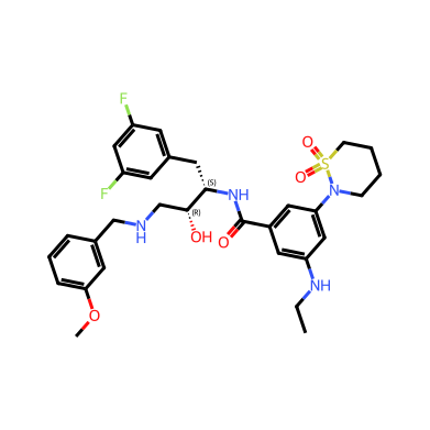 CCNc1cc(C(=O)N[C@@H](Cc2cc(F)cc(F)c2)[C@H](O)CNCc2cccc(OC)c2)cc(N2CCCCS2(=O)=O)c1